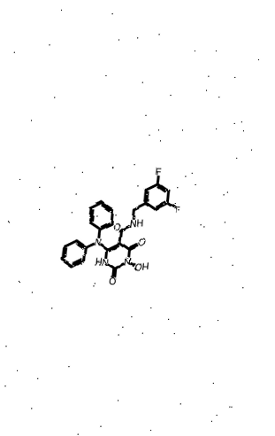 O=C(NCc1cc(F)cc(F)c1)c1c(N(c2ccccc2)c2ccccc2)[nH]c(=O)n(O)c1=O